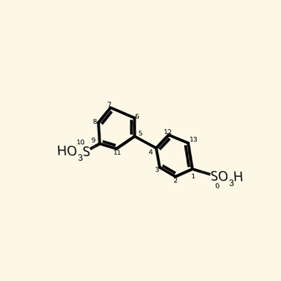 O=S(=O)(O)c1ccc(-c2cccc(S(=O)(=O)O)c2)cc1